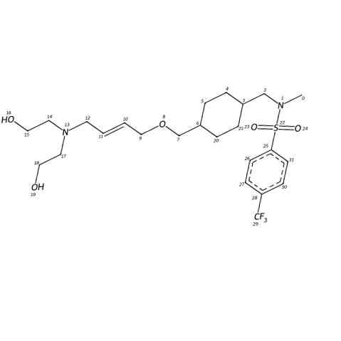 CN(CC1CCC(COC/C=C/CN(CCO)CCO)CC1)S(=O)(=O)c1ccc(C(F)(F)F)cc1